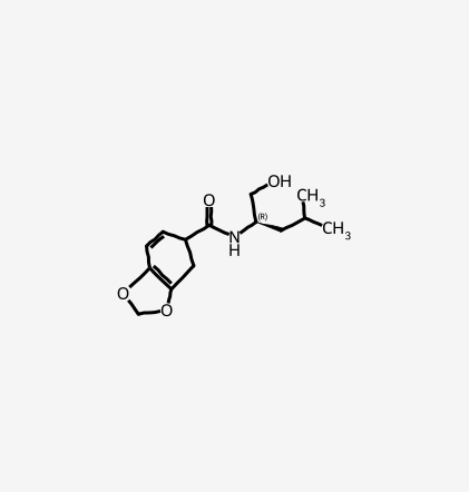 CC(C)C[C@H](CO)NC(=O)C1C=CC2=C(C1)OCO2